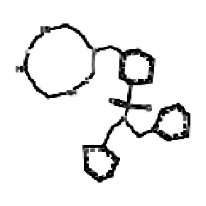 O=S(=O)(c1cccc(CN2CCNCCNCCNCC2)c1)N(Cc1ccccc1)Cc1ccccc1